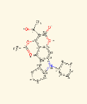 O=C(Oc1c(C(=O)C(F)(F)F)c(=O)oc2cc3c(cc12)c1ccccc1n3-c1ccccc1)C(F)(F)F